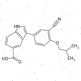 CC(C)COc1ccc(-c2c[nH]c3ccc(C(=O)O)cc23)cc1C#N